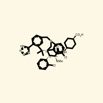 CN[C@@H](C(=O)N[C@H]1CC[C@@H](C(=O)O)CC1)[C@H](c1ccccc1Cl)[C@]12CN(Cc3ccc(-c4nnn[nH]4)c(c3)C1(C)C)c1ccc(Cl)cc12